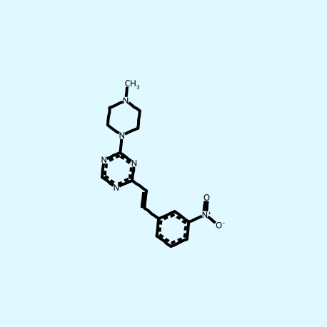 CN1CCN(c2ncnc(C=Cc3cccc([N+](=O)[O-])c3)n2)CC1